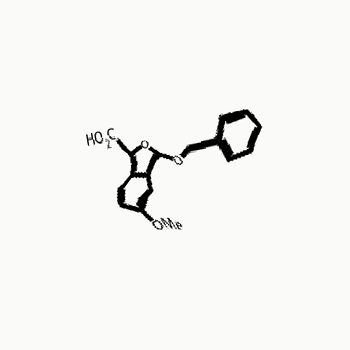 COc1ccc2c(C(=O)O)oc(OCc3ccccc3)c2c1